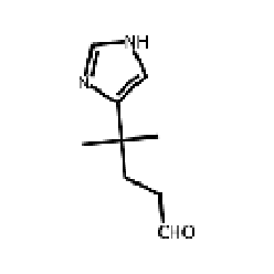 CC(C)(CCC=O)c1c[nH]cn1